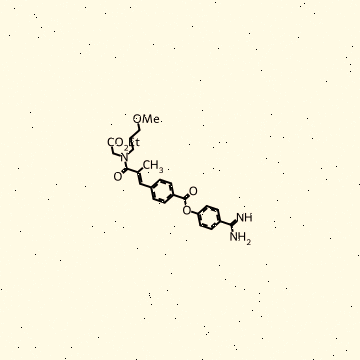 CCOC(=O)CN(CCCOC)C(=O)/C(C)=C/c1ccc(C(=O)Oc2ccc(C(=N)N)cc2)cc1